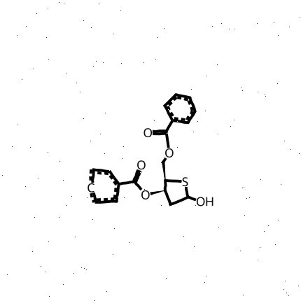 O=C(OC[C@H]1SC(O)C[C@H]1OC(=O)c1ccccc1)c1ccccc1